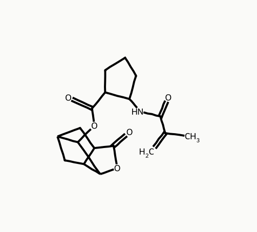 C=C(C)C(=O)NC1CCCC1C(=O)OC1C2CC3C(=O)OC1C3C2